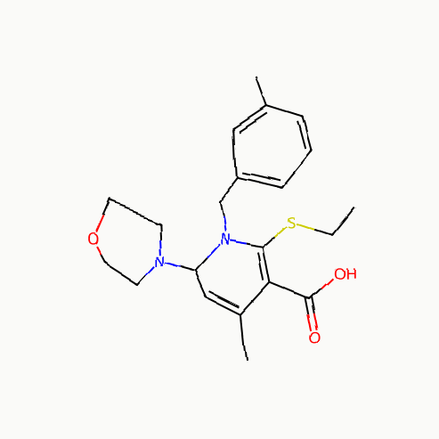 CCSC1=C(C(=O)O)C(C)=CC(N2CCOCC2)N1Cc1cccc(C)c1